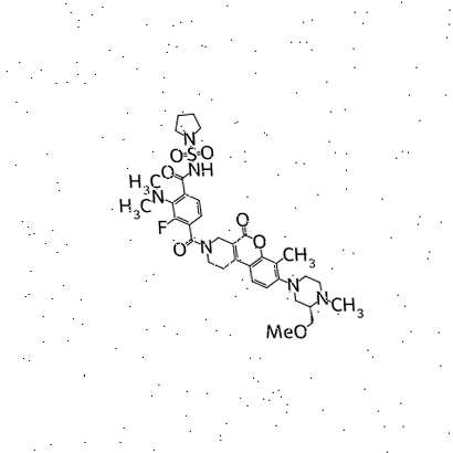 COC[C@H]1CN(c2ccc3c4c(c(=O)oc3c2C)CN(C(=O)c2ccc(C(=O)NS(=O)(=O)N3CCCC3)c(N(C)C)c2F)CC4)CCN1C